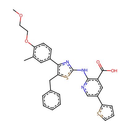 COCCOc1ccc(-c2nc(Nc3ncc(-c4cccs4)cc3C(=O)O)sc2Cc2ccccc2)cc1C